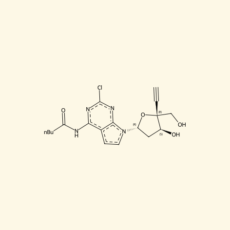 C#C[C@]1(CO)O[C@@H](n2ccc3c(NC(=O)CCCC)nc(Cl)nc32)C[C@@H]1O